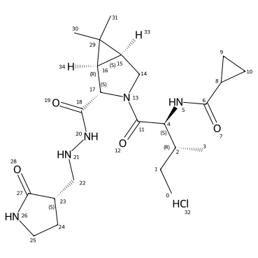 CC[C@@H](C)[C@H](NC(=O)C1CC1)C(=O)N1C[C@H]2[C@@H]([C@H]1C(=O)NNC[C@@H]1CCNC1=O)C2(C)C.Cl